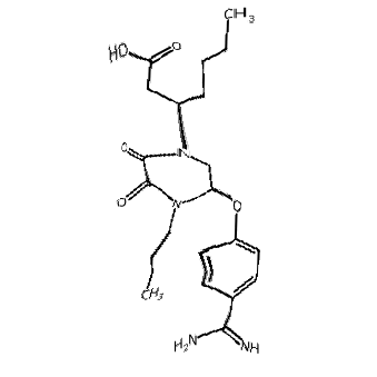 CCCCC(CC(=O)O)N1CC(Oc2ccc(C(=N)N)cc2)N(CCC)C(=O)C1=O